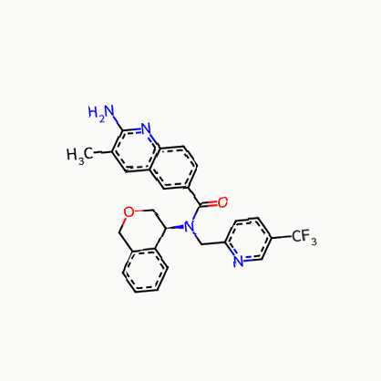 Cc1cc2cc(C(=O)N(Cc3ccc(C(F)(F)F)cn3)[C@@H]3COCc4ccccc43)ccc2nc1N